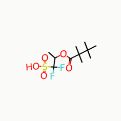 CC(OC(=O)C(C)(C)C(C)(C)C)C(F)(F)S(=O)(=O)O